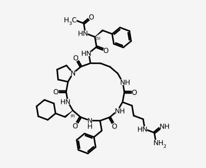 CC(=O)N[C@@H](Cc1ccccc1)C(=O)NC1CCCNC(=O)C(CCCNC(=N)N)NC(=O)C(Cc2ccccc2)NC(=O)[C@@H](CC2CCCCC2)NC(=O)C2CCCN2C1=O